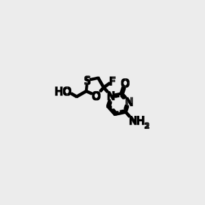 Nc1ccn(C2(F)CSC(CO)O2)c(=O)n1